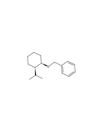 CC(C)[C@H]1CCCC[C@H]1OCc1ccccc1